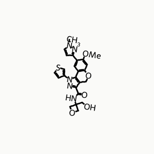 COc1cc2c(cc1-c1ccn(C)n1)-c1c(c(C(=O)NC3(CO)COC3)nn1-c1ccsc1)CO2